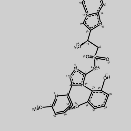 COC1=NC(c2nnc(NS(=O)(=O)C[C@@H](O)c3cn4ccccc4n3)n2-c2c(O)cccc2OC)=C=C=C1